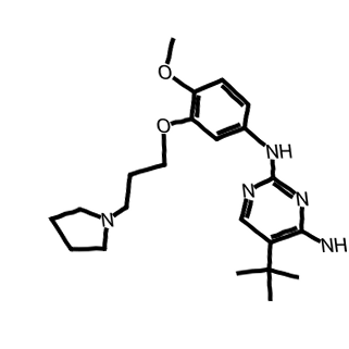 COc1ccc(Nc2ncc(C(C)(C)C)c(N)n2)cc1OCCCN1CCCC1